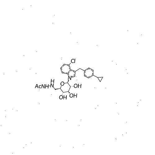 CC(=O)NNC[C@H]1O[C@@H](n2cc(Cc3ccc(C4CC4)cc3)c3c(Cl)cccc32)[C@H](O)[C@@H](O)[C@@H]1O